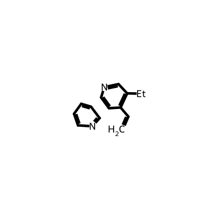 C=Cc1ccncc1CC.c1ccncc1